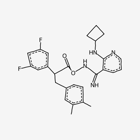 Cc1ccc(CC(C(=O)ONC(=N)c2cccnc2NC2CCC2)c2cc(F)cc(F)c2)cc1C